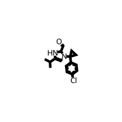 CC(C)C1=CN(C2(c3ccc(Cl)cc3)CC2)C(C=O)N1